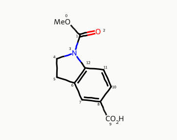 COC(=O)N1CCc2cc(C(=O)O)ccc21